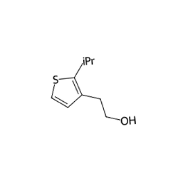 CC(C)c1sccc1CCO